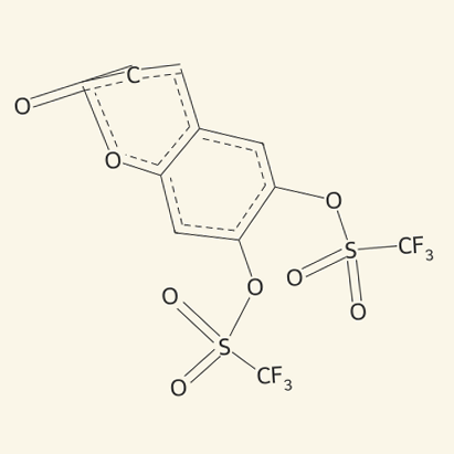 O=c1ccc2cc(OS(=O)(=O)C(F)(F)F)c(OS(=O)(=O)C(F)(F)F)cc2o1